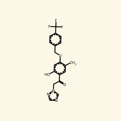 Cc1cc(C(=O)Cn2cncn2)c(O)cc1OCc1ccc(C(F)(F)F)cc1